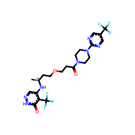 C[C@@H](CCOCCC(=O)N1CCN(c2ncc(C(F)(F)F)cn2)CC1)Nc1cn[nH]c(=O)c1C(F)(F)F